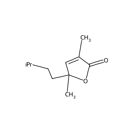 CC1=CC(C)(CCC(C)C)OC1=O